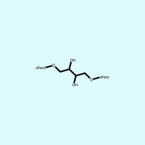 CCCCCOCC(O)C(O)COCCCCC